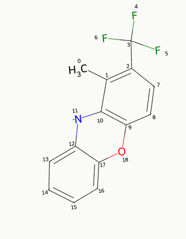 Cc1c(C(F)(F)F)ccc2c1[N]c1ccccc1O2